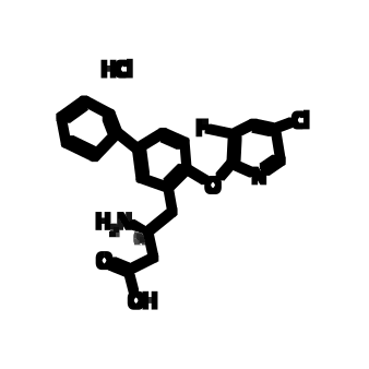 Cl.N[C@H](CC(=O)O)Cc1cc(-c2ccccc2)ccc1Oc1ncc(Cl)cc1F